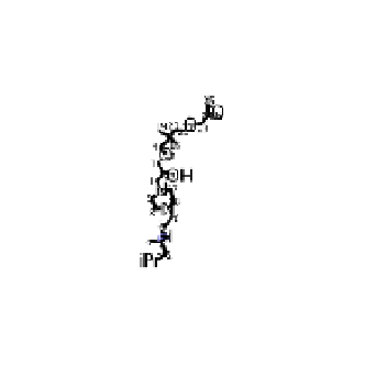 C/C(CC(C)C)=N\CCN1CCN(CC(O)COCC(C)(C)CCOCC2CO2)CC1